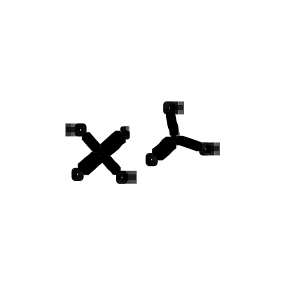 O=S(O)(O)=S.O=S(O)O